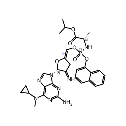 CC(C)OC(=O)[C@H](C)N[P@](=O)(O/C=C1\CC(=N)[C@H](n2cnc3c(N(C)C4CC4)nc(N)nc32)O1)Oc1cccc2ccccc12